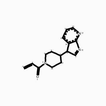 C=CC(=O)N1CCC(C2C=Nc3ncccc32)CC1